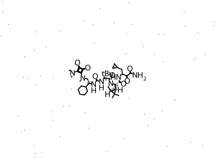 CN(C)c1c(N(C)C[C@@H](NC(=O)N[C@H](C(=O)N2C[C@H]3[C@@H]([C@H]2C(=O)NC(CC2CC2)C(=O)C(N)=O)C3(C)C)C(C)(C)C)C2CCCCC2)c(=O)c1=O